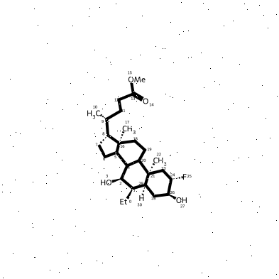 CC[C@H]1[C@@H](O)C2C3CC[C@H]([C@H](C)CCC(=O)OC)[C@@]3(C)CCC2[C@@]2(C)C[C@H](F)[C@@H](O)C[C@@H]12